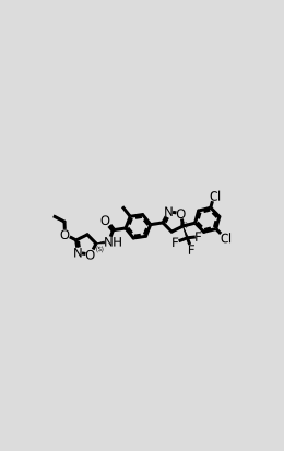 CCOC1=NO[C@H](NC(=O)c2ccc(C3=NO[C@@](c4cc(Cl)cc(Cl)c4)(C(F)(F)F)C3)cc2C)C1